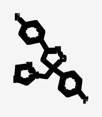 Fc1ccc(C2=NOC(Cn3cncn3)(c3ccc(F)cc3)C2)cc1